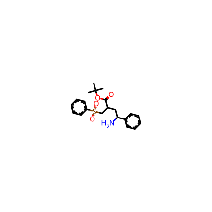 CC(C)(C)OC(=O)C(CC(N)c1ccccc1)CS(=O)(=O)c1ccccc1